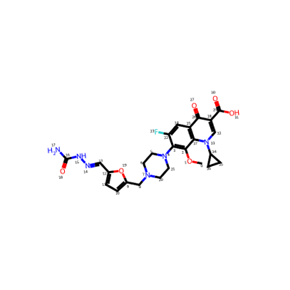 COc1c(N2CCN(Cc3ccc(/C=N/NC(N)=O)o3)CC2)c(F)cc2c(=O)c(C(=O)O)cn(C3CC3)c12